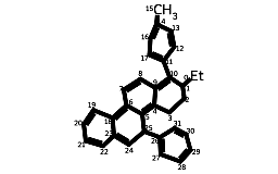 CCC1CCc2c3c(ccc2=C1c1ccc(C)cc1)=c1ccccc1=CC3c1ccccc1